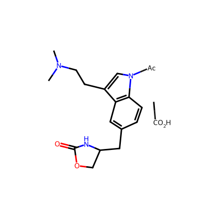 CC(=O)O.CC(=O)n1cc(CCN(C)C)c2cc(CC3COC(=O)N3)ccc21